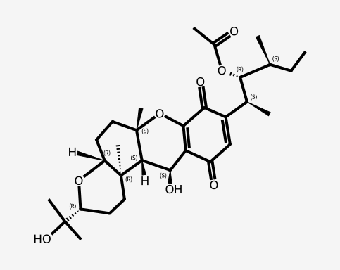 CC[C@H](C)[C@@H](OC(C)=O)[C@@H](C)C1=CC(=O)C2=C(O[C@@]3(C)CC[C@H]4O[C@@H](C(C)(C)O)CC[C@]4(C)[C@H]3[C@@H]2O)C1=O